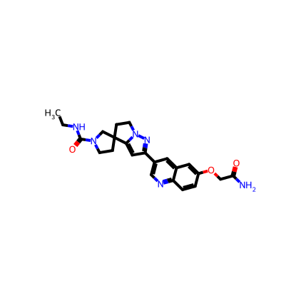 CCNC(=O)N1CCC2(CCn3nc(-c4cnc5ccc(OCC(N)=O)cc5c4)cc32)C1